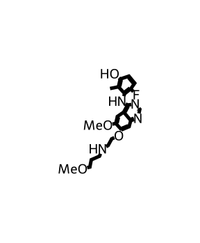 COCCCNCCOc1cc2ncnc(Nc3c(F)ccc(O)c3C)c2cc1OC